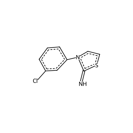 N=c1sccn1-c1cccc(Cl)c1